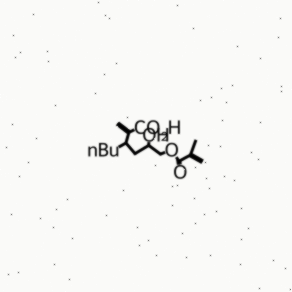 C=C(C)C(=O)OCC(O)CC(CCCC)C(=C)C(=O)O